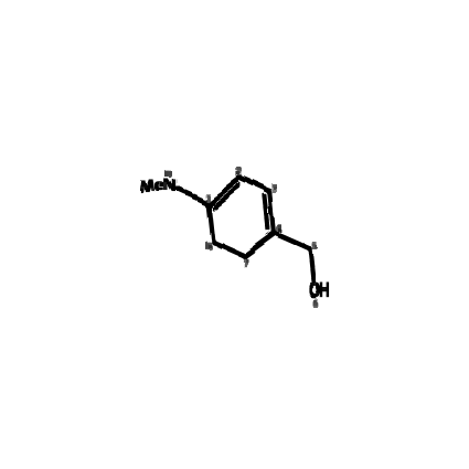 CNC1=CC=C(CO)CC1